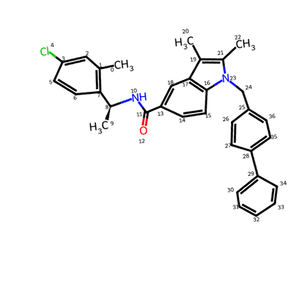 Cc1cc(Cl)ccc1[C@H](C)NC(=O)c1ccc2c(c1)c(C)c(C)n2Cc1ccc(-c2ccccc2)cc1